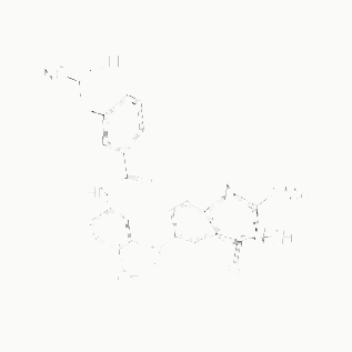 CSc1nc2ccc(Nc3cc(NC(=O)c4cccc(CC(C)C#N)c4)ccc3C)cc2c(=O)n1C